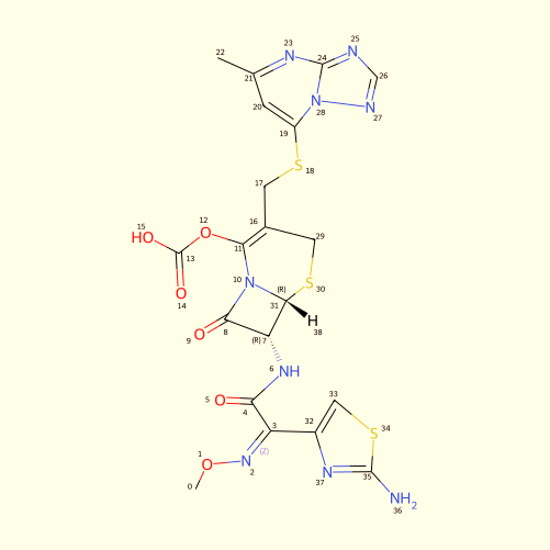 CO/N=C(\C(=O)N[C@@H]1C(=O)N2C(OC(=O)O)=C(CSc3cc(C)nc4ncnn34)CS[C@H]12)c1csc(N)n1